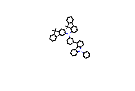 CC1(C)c2ccccc2-c2cc(N(c3cccc(-c4cccc5c4c4ccccc4n5-c4ccccc4)c3)c3cccc4c3C(C)(C)c3ccccc3-4)ccc21